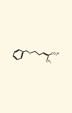 CC(=CCCOCc1ccccc1)C(=O)O